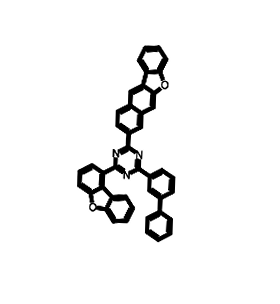 c1ccc(-c2cccc(-c3nc(-c4ccc5cc6c(cc5c4)oc4ccccc46)nc(-c4cccc5oc6ccccc6c45)n3)c2)cc1